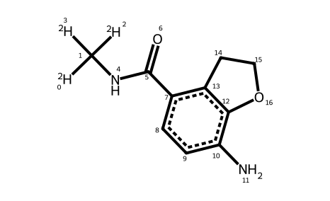 [2H]C([2H])([2H])NC(=O)c1ccc(N)c2c1CCO2